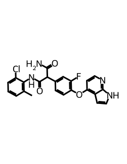 Cc1cccc(Cl)c1NC(=O)C(C(N)=O)c1ccc(Oc2ccnc3[nH]ccc23)c(F)c1